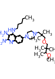 CCCCCNc1c(N)c(N)nc2ccc(N3CCN(CC(C)(C)COCC(C)(C)C(C)OC)CC3)cc12